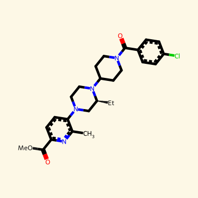 CC[C@H]1CN(c2ccc(C(=O)OC)nc2C)CCN1C1CCN(C(=O)c2ccc(Cl)cc2)CC1